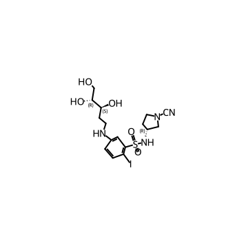 N#CN1CC[C@@H](NS(=O)(=O)c2cc(NCC[C@H](O)[C@H](O)CO)ccc2I)C1